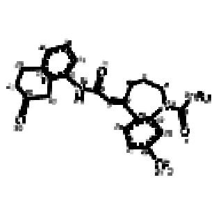 CCCCC(=O)N1CCC/C(=C\C(=O)Nc2cccc3c2CC(=O)CC3)c2ccc(C(F)(F)F)cc21